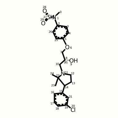 CN(c1ccc(OC[C@H](O)CN2CCC(c3cccc(Cl)c3)C2(C)C)cc1)[SH](=O)=O